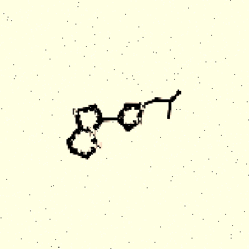 CC(C)Cn1cc(-c2cnc3cccnn23)cn1